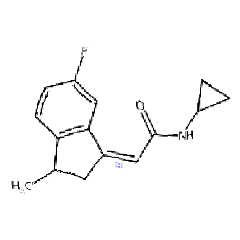 CC1C/C(=C/C(=O)NC2CC2)c2cc(F)ccc21